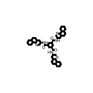 O=C(Nc1cnc2c(ccc3ccccc32)c1)c1cc(C(=O)Nc2cnc3c(ccc4ccccc43)c2)cc(C(=O)Nc2cnc3c(ccc4ccccc43)c2)c1